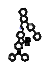 CCC1(CC)c2cc(/C=C/c3cc4ccccc4cc3-c3ccc(-c4ccccc4)cc3)ccc2-c2ccc(N(c3ccccc3)c3ccccc3)cc21